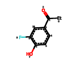 CCC(=O)c1ccc(O)c(F)c1